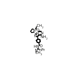 C=CC(=O)N1CCC[C@H]1c1nc(-c2ccc(C(=O)N/C(CCC)=N/C)cc2)c2c(N)nccn12